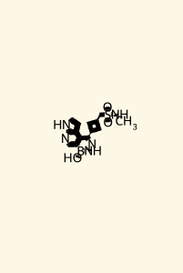 CNS(=O)(=O)C[C@H]1C[C@H](C2=NNB(O)c3cnc4[nH]ccc4c32)C1